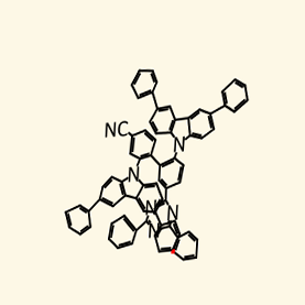 N#Cc1ccc(-c2cc(-c3nc(-c4ccccc4)nc(-c4ccccc4)n3)ccc2-n2c3ccc(-c4ccccc4)cc3c3cc(-c4ccccc4)ccc32)c(-n2c3ccc(-c4ccccc4)cc3c3cc(-c4ccccc4)ccc32)c1